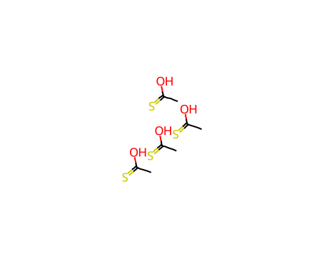 CC(O)=S.CC(O)=S.CC(O)=S.CC(O)=S